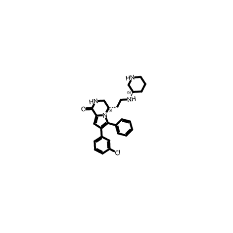 O=C1NC[C@H](CCN[C@H]2CCCNC2)n2c1cc(-c1cccc(Cl)c1)c2-c1ccccc1